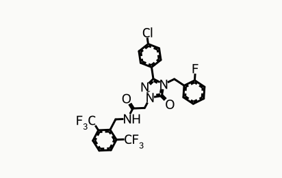 O=C(Cn1nc(-c2ccc(Cl)cc2)n(Cc2ccccc2F)c1=O)NCc1c(C(F)(F)F)cccc1C(F)(F)F